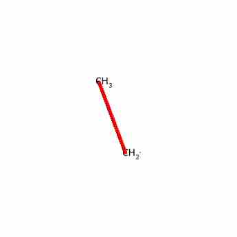 [CH2]CCCCCCCCCCCCCCCCCCCCCCCCCCCCCCCCCCCCCCCCCCCCCCCCCCCCCCCCCCCCCCCCCCCC